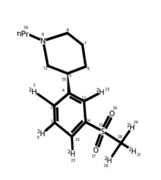 [2H]c1c([2H])c([C@@H]2CCCN(CCC)C2)c([2H])c(S(=O)(=O)C([2H])([2H])[2H])c1[2H]